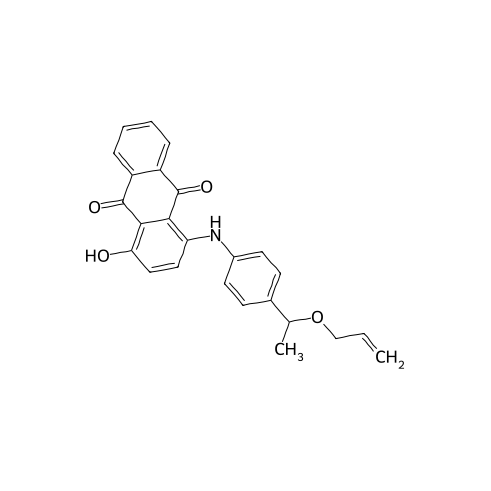 C=CCOC(C)c1ccc(Nc2ccc(O)c3c2C(=O)c2ccccc2C3=O)cc1